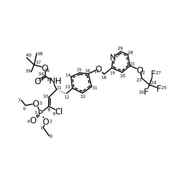 CCOP(=O)(OCC)/C(Cl)=C/[C@@H](Cc1ccc(OCc2cc(OCC(F)(F)F)ccn2)cc1)NC(=O)OC(C)(C)C